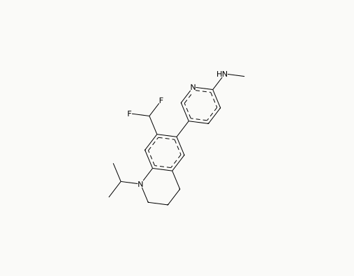 CNc1ccc(-c2cc3c(cc2C(F)F)N(C(C)C)CCC3)cn1